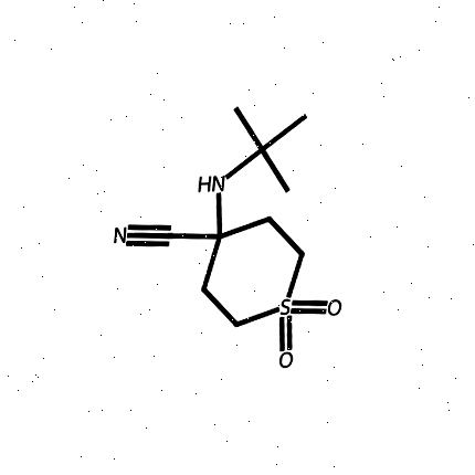 CC(C)(C)NC1(C#N)CCS(=O)(=O)CC1